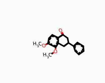 COc1ccc2c(c1OC)CC(c1ccccc1)CC2=O